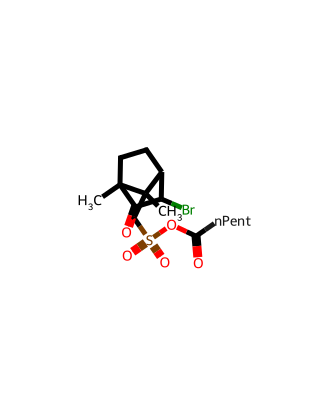 CCCCCC(=O)OS(=O)(=O)CC1(C)C2CCC1(C)C(=O)C2Br